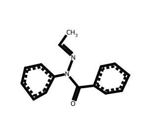 CC=NN(C(=O)c1ccccc1)c1ccccc1